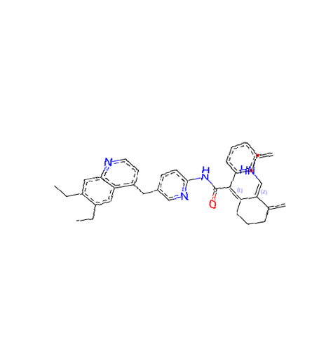 C=CN/C=C1/C(=C)CCC/C1=C(\C(=O)Nc1ccc(Cc2ccnc3cc(CC)c(CC)cc23)cn1)c1ccccc1